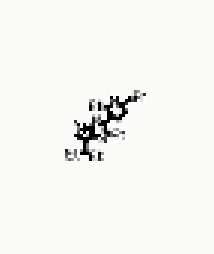 CCc1nc(C(C)C)ccc1-c1nc2c(nc1CC)c(C(CC)CC)cn2C